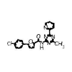 Cc1nc(NC(=O)c2ccc(-c3ccc(Cl)cc3)o2)nc(-c2ccccn2)n1